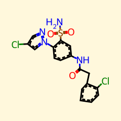 NS(=O)(=O)c1cc(NC(=O)Cc2ccccc2Cl)ccc1-n1cc(Cl)cn1